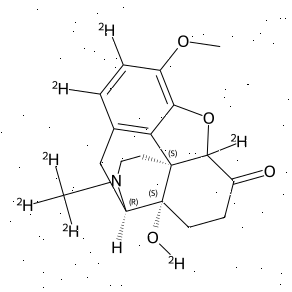 [2H]O[C@@]12CCC(=O)C3([2H])Oc4c(OC)c([2H])c([2H])c5c4[C@@]31CCN(C([2H])([2H])[2H])[C@@H]2C5